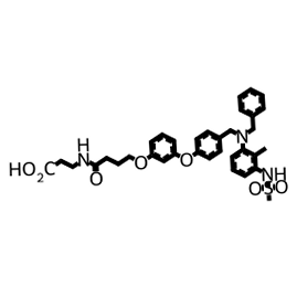 Cc1c(NS(C)(=O)=O)cccc1N(Cc1ccccc1)Cc1ccc(Oc2cccc(OCCCC(=O)NCCC(=O)O)c2)cc1